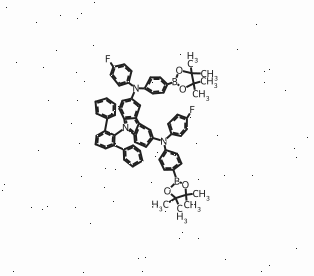 CC1(C)OB(c2ccc(N(c3ccc(F)cc3)c3ccc4c(c3)c3cc(N(c5ccc(F)cc5)c5ccc(B6OC(C)(C)C(C)(C)O6)cc5)ccc3n4-c3c(-c4ccccc4)cccc3-c3ccccc3)cc2)OC1(C)C